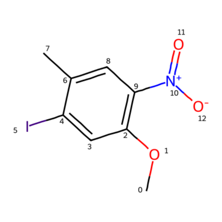 COc1cc(I)c(C)cc1[N+](=O)[O-]